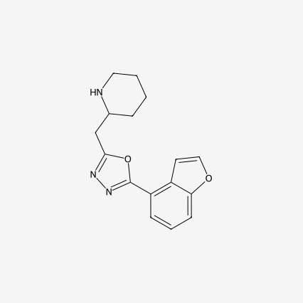 c1cc(-c2nnc(CC3CCCCN3)o2)c2ccoc2c1